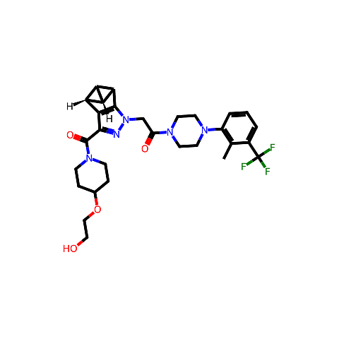 Cc1c(N2CCN(C(=O)Cn3nc(C(=O)N4CCC(OCCO)CC4)c4c3C3C5[C@H]3[C@H]45)CC2)cccc1C(F)(F)F